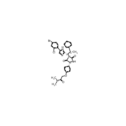 C[C@@H](c1ccccc1)[C@@H](c1ncc(-c2ccc(Br)cc2Cl)[nH]1)N1C(=O)N[C@H](c2ccc(OCC(=O)N(C)C)cc2)C1=O